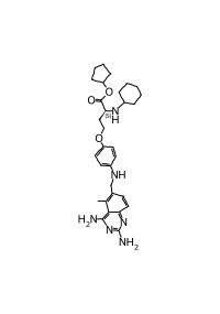 Cc1c(CNc2ccc(OCC[C@H](NC3CCCCC3)C(=O)OC3CCCC3)cc2)ccc2nc(N)nc(N)c12